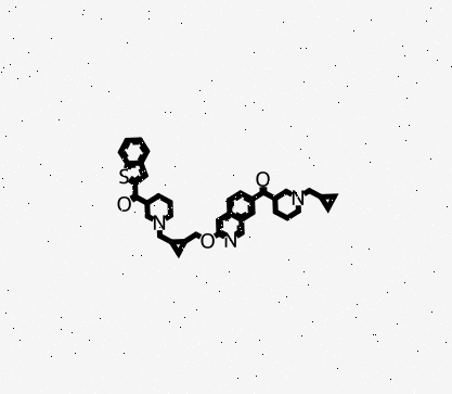 O=C(c1ccc2cc(OCC3CC3CN3CCCC(C(=O)c4cc5ccccc5s4)C3)ncc2c1)C1CCCN(CC2CC2)C1